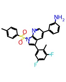 Cc1ccc(S(=O)(=O)n2cc(-c3cc(F)cc(F)c3C)c3cc(-c4cccc(N)c4)cnc32)cc1